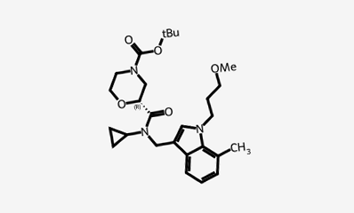 COCCCn1cc(CN(C(=O)[C@H]2CN(C(=O)OC(C)(C)C)CCO2)C2CC2)c2cccc(C)c21